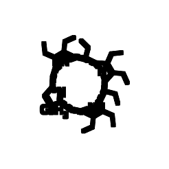 CCC1=C(CC)c2nc1c(CC)c1[nH]c(cc3nc(cc4[nH]c(c2CC)c(CC)c4CC)C=C3)c(CC)c1CC.[GaH3]